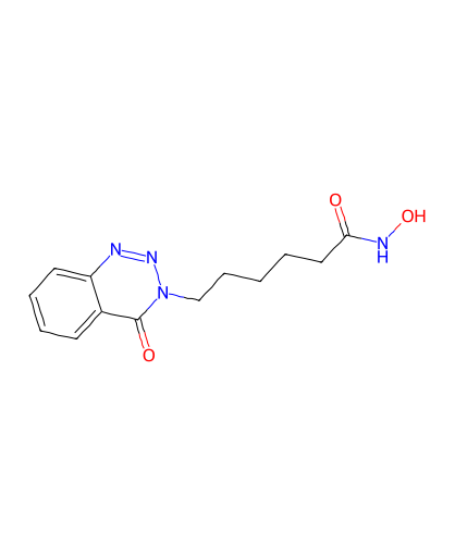 O=C(CCCCCn1nnc2ccccc2c1=O)NO